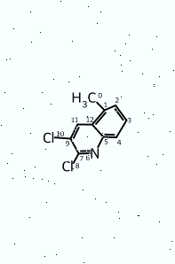 Cc1cccc2nc(Cl)c(Cl)cc12